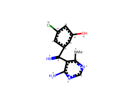 CNc1ncnc(N)c1C(=N)c1cc(O)cc(Cl)c1